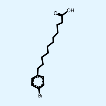 O=C(O)CCCCCCCCCCc1ccc(Br)cc1